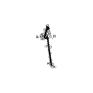 CC(=O)N[C@H]1[C@H]([C@H](O)[C@H](O)CNC(=O)c2cccc(Cl)c2)O[C@@](OCCCCCCNC(=O)CCOCCOCCOCCOCCNC(=O)OC(C)(C)C)(C(=O)O)C[C@@H]1O